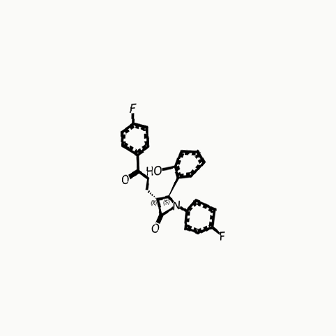 O=C(CC[C@H]1C(=O)N(c2ccc(F)cc2)[C@@H]1c1ccccc1O)c1ccc(F)cc1